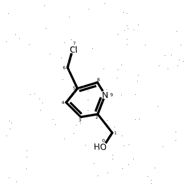 OCc1ccc(CCl)cn1